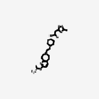 Cc1nnc(CC(=O)N[C@H]2CC[C@H](CCN3CCc4ccc(O[C@@H](C)C(F)(F)F)nc4CC3)CC2)o1